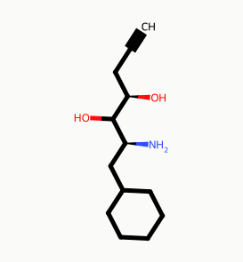 C#CC[C@@H](O)C(O)[C@@H](N)CC1CCCCC1